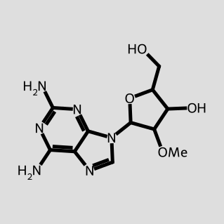 COC1C(O)C(CO)OC1n1cnc2c(N)nc(N)nc21